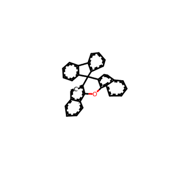 c1ccc2c(c1)-c1ccccc1C21c2ccc3ccccc3c2Oc2c1ccc1ccccc21